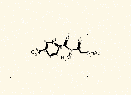 CC(=O)NCC(=O)N(N)C(=O)c1ccc([N+](=O)[O-])cn1